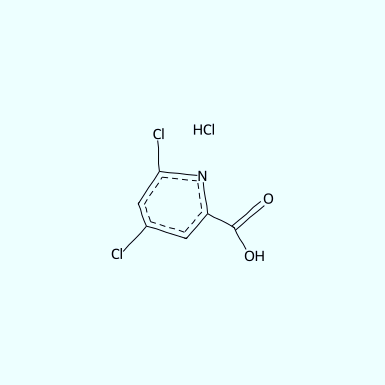 Cl.O=C(O)c1cc(Cl)cc(Cl)n1